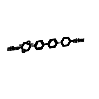 CCCCCC[C@H]1CO[C@H](c2ccc(-c3ccc([C@H]4CC[C@H](CCCCCC)CC4)cc3)cc2)CO1